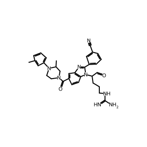 Cc1cccc(N2CCN(C(=O)c3ccc4c(c3)nc(-c3cccc(C#N)c3)n4C(C=O)CCCNC(=N)N)CC2C)c1